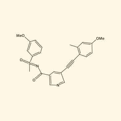 COc1cccc(S(C)(=O)=NC(=O)c2cncc(C#Cc3ccc(OC)cc3C)c2)c1